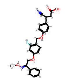 CO/N=C(\COc1ccc(COc2ccc(C(C#N)CC(=O)O)cc2)c(F)c1)c1ccccc1